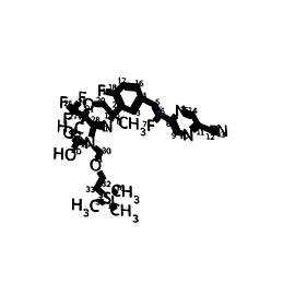 C[C@@]1(c2cc(/C=C(\F)c3cnc(C#N)cn3)ccc2F)CO[C@@](C)(C(F)(F)F)C(N(COCC[Si](C)(C)C)C(=O)O)=N1